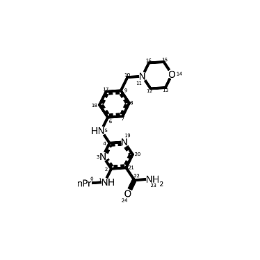 CCCNc1nc(Nc2ccc(CN3CCOCC3)cc2)ncc1C(N)=O